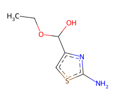 CCOC(O)c1csc(N)n1